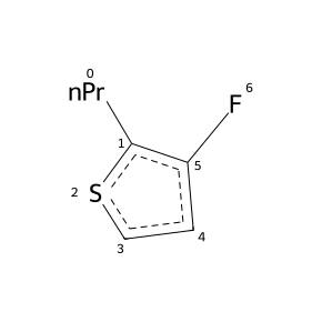 [CH2]CCc1sccc1F